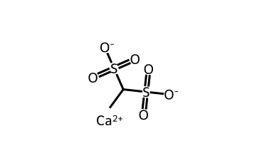 CC(S(=O)(=O)[O-])S(=O)(=O)[O-].[Ca+2]